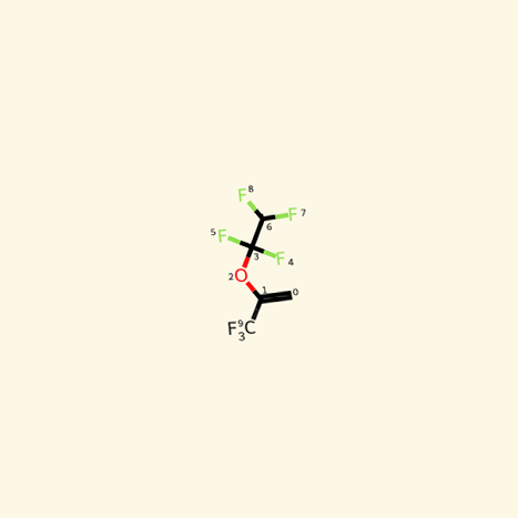 C=C(OC(F)(F)[C](F)F)C(F)(F)F